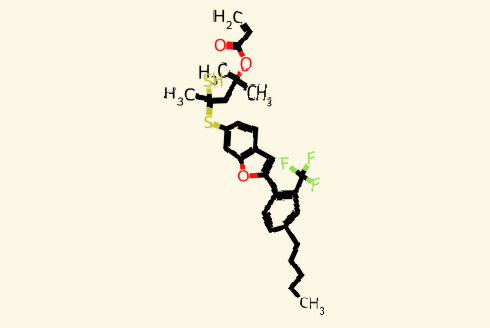 C=CC(=O)OC(C)(C)CC(C)(S)Sc1ccc2cc(-c3ccc(CCCCC)cc3C(F)(F)F)oc2c1